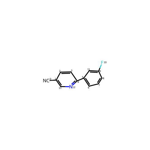 N#Cc1ccc(-c2cccc(F)c2)nc1